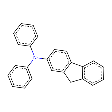 c1ccc(N(c2ccccc2)c2ccc3c(c2)Cc2ccccc2-3)cc1